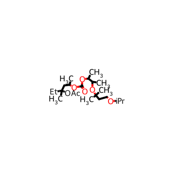 CCC(C)(CC(C)OC(=O)OC(C)C(C)OC(C)(C)CCOC(C)C)OC(C)=O